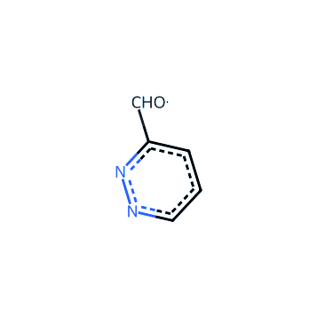 O=[C]c1cccnn1